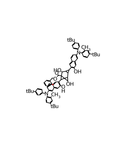 Cc1cc(C(C)(C)C)ccc1N(c1ccc(C(C)(C)C)cc1)c1ccc2cc(C3C4C3C3C(O)C35C(c3cc6ccc(N(c7ccc(C(C)(C)C)cc7)c7ccc(C(C)(C)C)cc7C)cc6cc3O)C5(C(=O)OCc3ccccc3)C4O)c(O)cc2c1